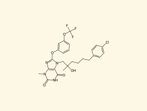 Cn1c(=O)[nH]c(=O)c2c1nc(Oc1cccc(OC(F)(F)F)c1)n2CC(C)(O)CCCCc1ccc(Cl)cc1